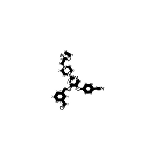 N#Cc1ccc(Sc2cnc(N3CCN(Cc4ncco4)CC3)nc2OCc2cccc(C=O)c2)cc1